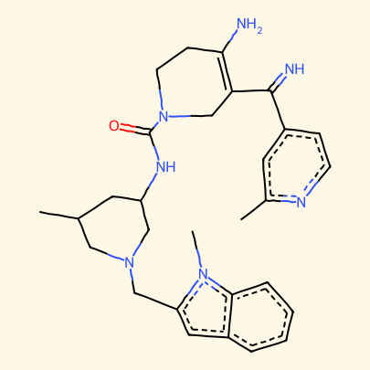 Cc1cc(C(=N)C2=C(N)CCN(C(=O)NC3CC(C)CN(Cc4cc5ccccc5n4C)C3)C2)ccn1